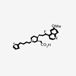 COc1ccc2nccc(C(F)CC[C@@H]3CCN(CCCCc4cccs4)C[C@@H]3CC(=O)O)c2c1